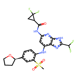 CS(=O)(=O)c1cc([C@H]2CCCO2)ccc1Nc1cc(NC(=O)C2CC2(F)F)nc2[nH]c(C(F)F)nc12